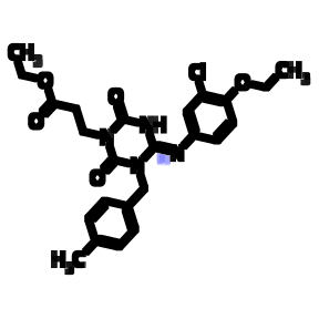 CCOC(=O)CCn1c(=O)[nH]/c(=N\c2ccc(OCC)c(Cl)c2)n(Cc2ccc(C)cc2)c1=O